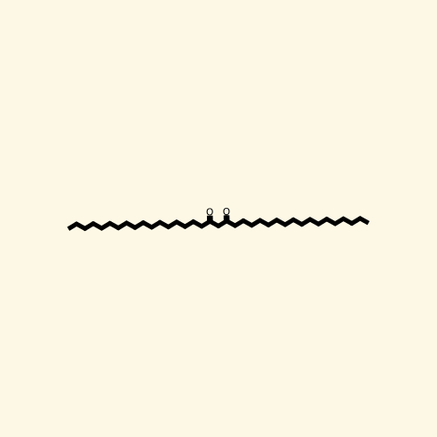 CCCCCCCCCCCCCCCCCC(=O)CC(=O)CCCCCCCCCCCCCCCCC